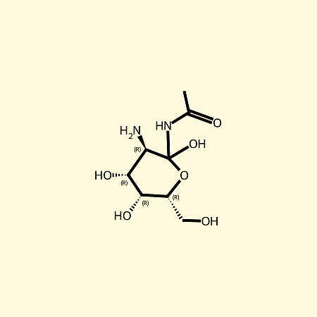 CC(=O)NC1(O)O[C@H](CO)[C@H](O)[C@H](O)[C@H]1N